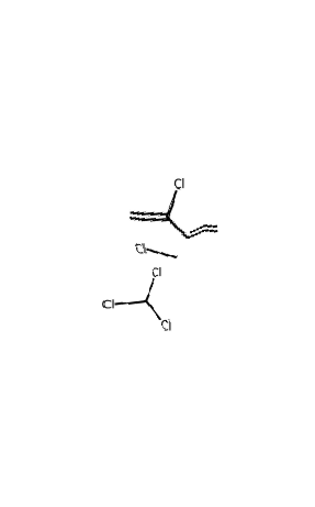 C=CC(=C)Cl.CCl.ClC(Cl)Cl